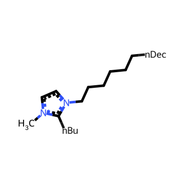 CCCCCCCCCCCCCCCCn1cc[n+](C)c1CCCC